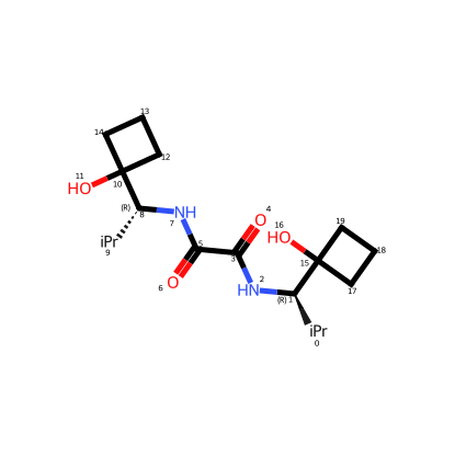 CC(C)[C@@H](NC(=O)C(=O)N[C@H](C(C)C)C1(O)CCC1)C1(O)CCC1